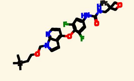 CC(C)C1(CNC(=O)Nc2cc(F)c(Oc3ccnc4c3ccn4COCC[Si](C)(C)C)c(F)c2)COC1